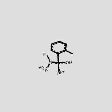 CCC[C@](O)(c1ccccc1I)N(C(=O)O)C(C)C